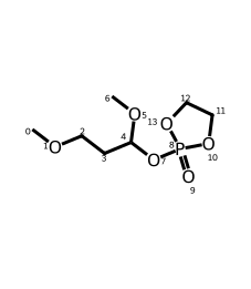 COCCC(OC)OP1(=O)OCCO1